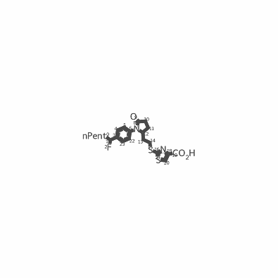 CCCCCC(F)c1ccc(N2C(=O)CCC2CCSc2nc(C(=O)O)cs2)cc1